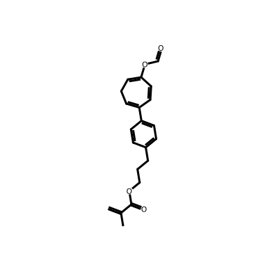 C=C(C)C(=O)OCCCc1ccc(C2=CCC=C(OC=O)C=C2)cc1